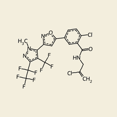 C=C(Cl)CNC(=O)c1cc(-c2cc(-c3c(C(F)(F)F)c(C(F)(F)C(F)(F)F)nn3C)no2)ccc1Cl